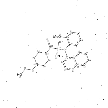 COc1ccccc1C(c1cccc2ccccc12)[C@@](C)(C#N)C(=O)N1CCN(CCO)CC1